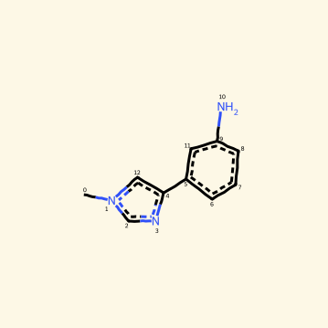 Cn1cnc(-c2cccc(N)c2)c1